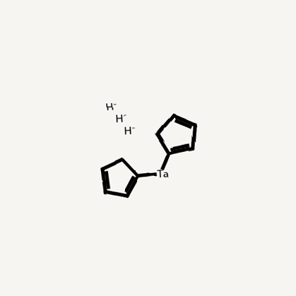 C1=CC[C]([Ta][C]2=CC=CC2)=C1.[H-].[H-].[H-]